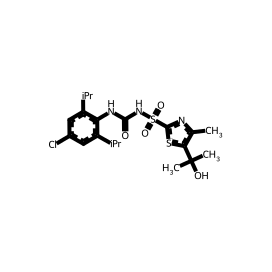 Cc1nc(S(=O)(=O)NC(=O)Nc2c(C(C)C)cc(Cl)cc2C(C)C)sc1C(C)(C)O